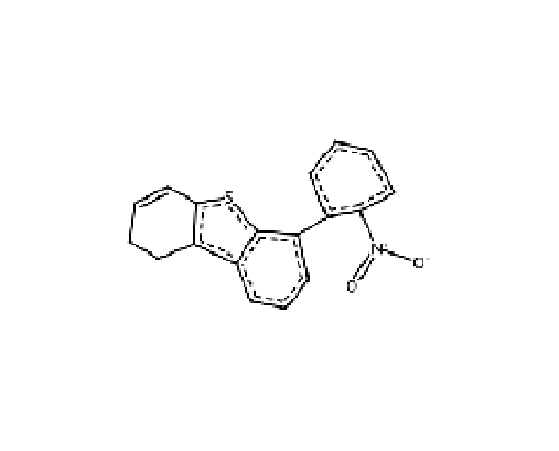 O=[N+]([O-])c1ccccc1-c1cccc2c3c(sc12)C=CCC3